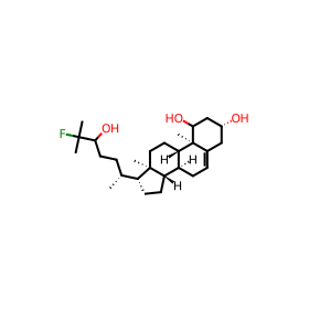 C[C@H](CCC(O)C(C)(C)F)[C@H]1CC[C@H]2[C@@H]3CC=C4C[C@@H](O)CC(O)[C@]4(C)[C@H]3CC[C@]12C